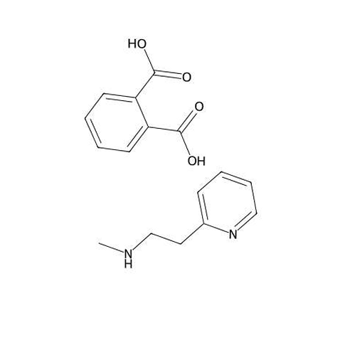 CNCCc1ccccn1.O=C(O)c1ccccc1C(=O)O